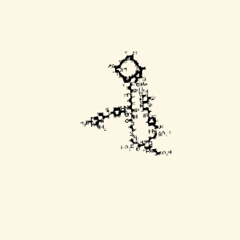 CC[C@H]1c2cc3[nH]c4c(c3C)C(=O)C(C(=O)OC)c4c3nc(cc4cc(C(C)=O)c(cc(n2)[C@@H]1C)[nH]4)[C@@H](C)[C@@H]3CCC(=O)NCCCC(NC(=O)c1ccc(N(C)Cc2cnc3nc(N)nc(N)c3n2)cc1)C(=O)NNC(=O)OCCSSC[C@H](NC(=O)[C@H](CC(=O)NCCS(=O)(=O)O)NC(=O)CC[C@H](NC(=O)c1ccc(NCc2cnc3nc(N)[nH]c(=O)c3n2)cc1)C(=O)O)C(=O)O